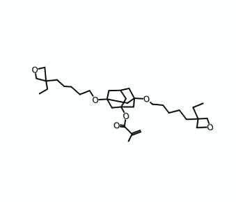 C=C(C)C(=O)OC12CC3CC(OCCCCCC4(CC)COC4)(CC(OCCCCCC4(CC)COC4)(C3)C1)C2